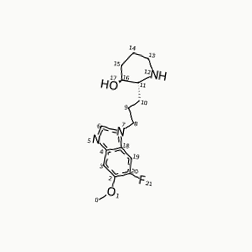 COc1cc2ncn(CCC[C@H]3NCCC[C@@H]3O)c2cc1F